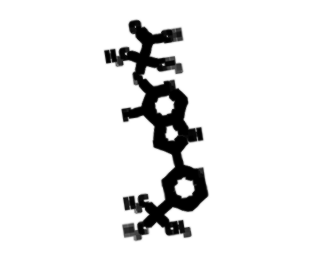 CC(C)(Sc1ncc2[nH]c(-c3cc(C(C)(C)C)ccn3)cc2c1F)C(=O)O